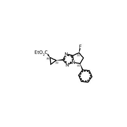 CCOC(=O)[C@@H]1C[C@@H]1c1nc2n(n1)[C@H](c1ccccc1)C[C@@H]2F